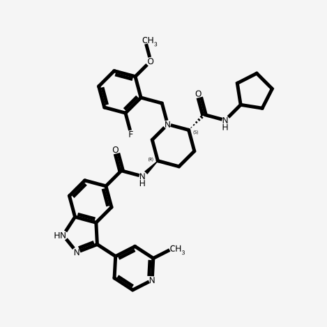 COc1cccc(F)c1CN1C[C@H](NC(=O)c2ccc3[nH]nc(-c4ccnc(C)c4)c3c2)CC[C@H]1C(=O)NC1CCCC1